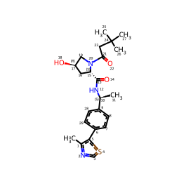 Cc1ncsc1-c1ccc([C@H](C)NC(=O)[C@@H]2C[C@@H](O)CN2C(=O)[CH]C(C)(C)C)cc1